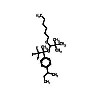 CCCCCCOC(OC(C)(c1ccc(C(C)CC)cc1)C(F)(F)F)C(C)(C)C